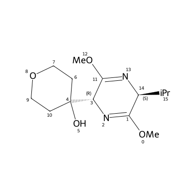 COC1=N[C@H](C2(O)CCOCC2)C(OC)=N[C@H]1C(C)C